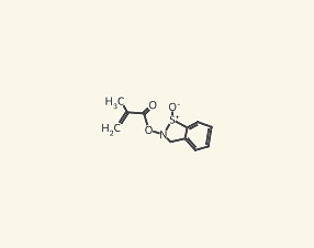 C=C(C)C(=O)ON1Cc2ccccc2[S+]1[O-]